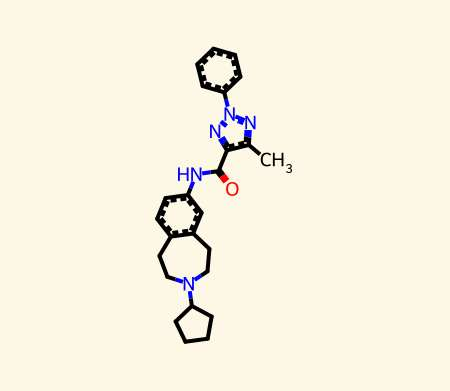 Cc1nn(-c2ccccc2)nc1C(=O)Nc1ccc2c(c1)CCN(C1CCCC1)CC2